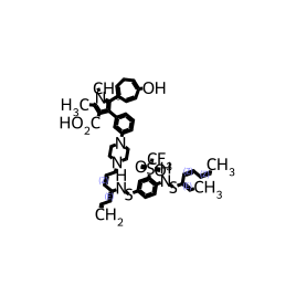 C=C/C=C(\C=C/CN1CCN(c2cccc(-c3c(C(=O)O)c(C)n(C)c3C3=CCC=C(O)C=C3)c2)CC1)NSc1ccc(NSC(/C=C\C=C/C)=C/C)c(S(=O)(=O)C(F)(F)F)c1